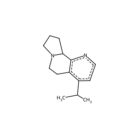 CC(C)c1ccnc2c1CCN1CCCC21